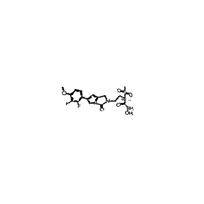 COc1ccc(-c2cc3n(c2)C(=O)N(CC[C@](C)(C(=O)NO)S(C)(=O)=O)C3)c(F)c1F